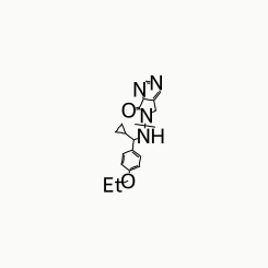 CCOc1ccc(C(NC(C)(C)N2Cc3cncnc3C2=O)C2CC2)cc1